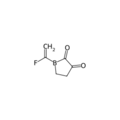 C=C(F)B1CCC(=O)C1=O